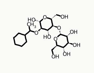 CC(O[C@@H]1[C@@H](O)[C@H](O[C@H]2O[C@H](CO)[C@@H](O)[C@H](O)[C@H]2O)[C@@H](CO)O[C@H]1O)C1CCCCC1